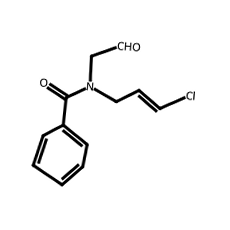 O=CCN(C/C=C/Cl)C(=O)c1ccccc1